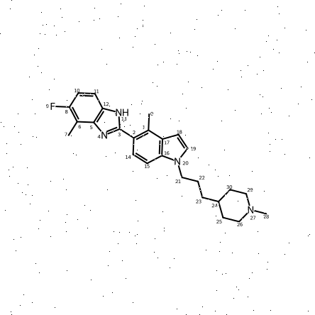 Cc1c(-c2nc3c(C)c(F)ccc3[nH]2)ccc2c1ccn2CCCC1CCN(C)CC1